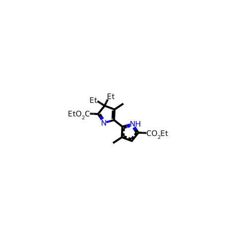 CCOC(=O)C1=NC(c2[nH]c(C(=O)OCC)cc2C)=C(C)C1(CC)CC